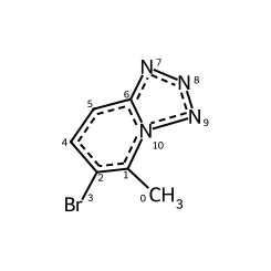 Cc1c(Br)ccc2nnnn12